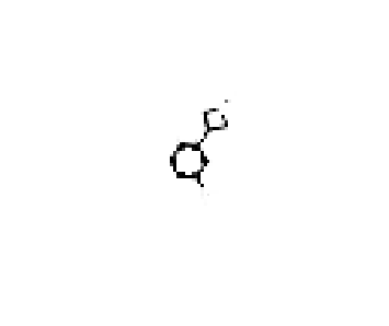 CC(=O)N1CC(c2cccc(N)c2)C1